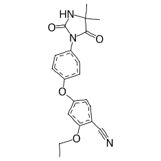 CCOc1cc(Oc2ccc(N3C(=O)NC(C)(C)C3=O)cc2)ccc1C#N